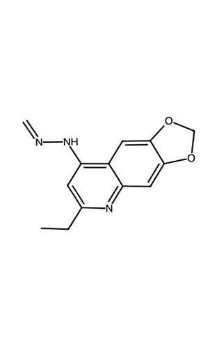 C=NNc1cc(CC)nc2cc3c(cc12)OCO3